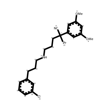 COc1cc(OC)cc(C(C#N)(CCCNCCCc2cccc(Cl)c2)C(C)C)c1